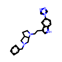 c1ccc(CN2CC3CCN(CCc4c[nH]c5ccc(-n6cnnc6)cc45)C3C2)cc1